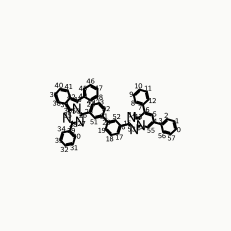 c1ccc(-c2cc(-c3ccccc3)c3nc(-c4cccc(-c5cccc(-c6nc(-c7ccccc7)nc7c8ccccc8c(-c8ccccc8)n67)c5)c4)nn3c2)cc1